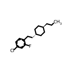 CCC[C@H]1CC[C@H](CCc2ccc(Cl)cc2F)CC1